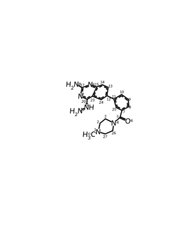 CN1CCN(C(=O)c2cccc(-c3ccc4nc(N)nc(NN)c4c3)c2)CC1